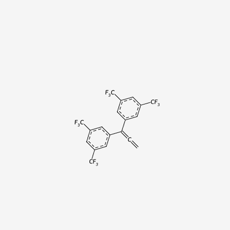 C=C=C(c1cc(C(F)(F)F)cc(C(F)(F)F)c1)c1cc(C(F)(F)F)cc(C(F)(F)F)c1